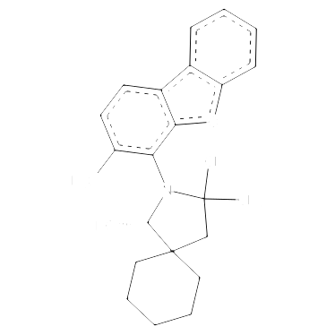 Cc1ccc2c(oc3ccccc32)c1N1[C@@H](C)C2(CCCCC2)CC1(C)C